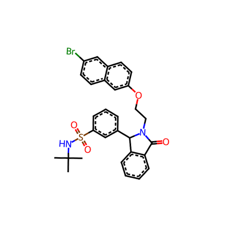 CC(C)(C)NS(=O)(=O)c1cccc(C2c3ccccc3C(=O)N2CCOc2ccc3cc(Br)ccc3c2)c1